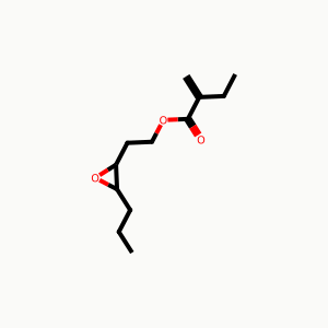 C=C(CC)C(=O)OCCC1OC1CCC